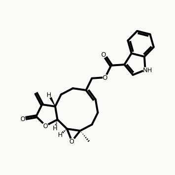 C=C1C(=O)O[C@H]2[C@H]1CC/C(COC(=O)c1c[nH]c3ccccc13)=C\CC[C@@]1(C)O[C@@H]21